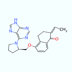 C/C=C1/CCc2c(OC[C@H]3CCCN3c3ncnc4[nH]cnc34)cccc2C1=O